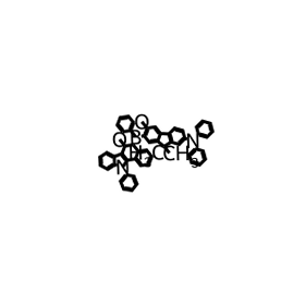 CC1(C)c2cc(N(c3ccccc3)c3ccccc3)ccc2-c2cc3c(cc21)B1c2c(cccc2OC2c4c(n(-c5ccccc5)c5ccccc45)-c4ccccc4C12)O3